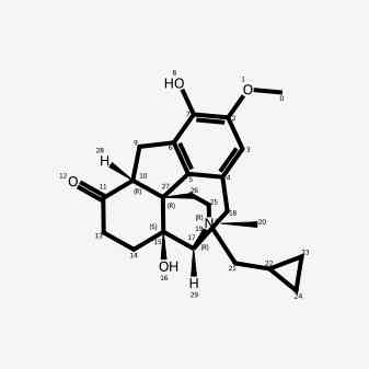 COc1cc2c3c(c1O)C[C@H]1C(=O)CC[C@@]4(O)[C@@H](C2)[N@@+](C)(CC2CC2)CC[C@]314